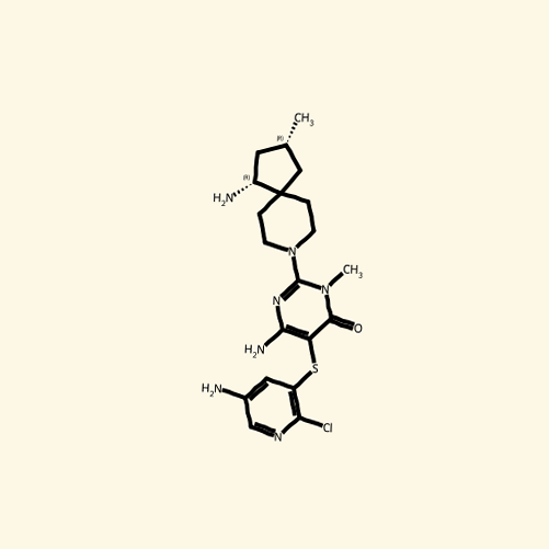 C[C@H]1C[C@@H](N)C2(CCN(c3nc(N)c(Sc4cc(N)cnc4Cl)c(=O)n3C)CC2)C1